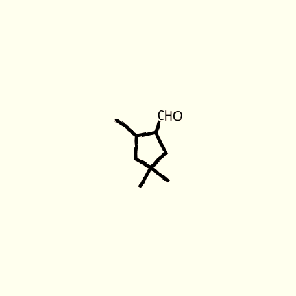 CC1CC(C)(C)CC1C=O